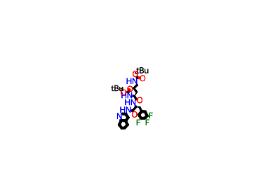 CC(C)(C)OC(=O)NCCC[C@H](NC(=O)OC(C)(C)C)C(=O)N[C@@H](Cc1cc(F)c(F)c(F)c1)C(=O)Nc1cnc2ccccc2c1